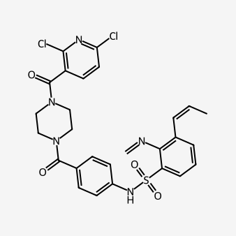 C=Nc1c(/C=C\C)cccc1S(=O)(=O)Nc1ccc(C(=O)N2CCN(C(=O)c3ccc(Cl)nc3Cl)CC2)cc1